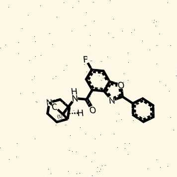 O=C(N[C@@H]1CN2CCC1CC2)c1cc(F)cc2oc(-c3ccccc3)nc12